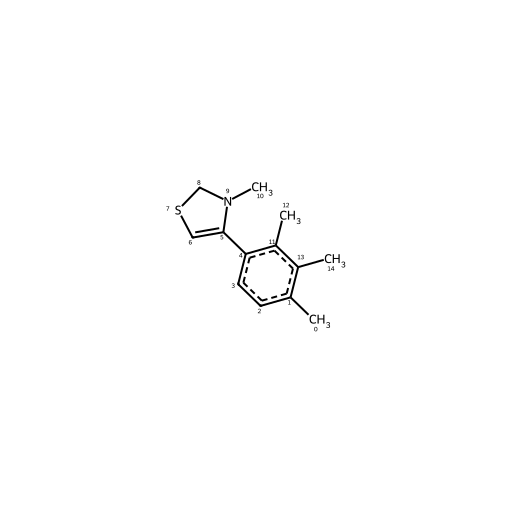 Cc1ccc(C2=CSCN2C)c(C)c1C